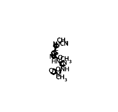 Cc1ncc(NC(=O)CN(C)C2CCOCC2)cc1NC(=O)c1cnn2cc(-c3cnn(C(C)C#N)c3)sc12